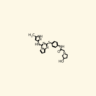 Cc1cc(Nc2nc(Sc3ccc(NC(=O)CN4CCC(O)C4)cc3)nc3cccn23)n[nH]1